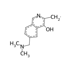 [CH2]c1ncc2ccc(CN(C)C)cc2c1O